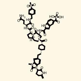 C=C1CCC(n2c(=O)n(C)c3cc(CC[C@H]4CC[C@@H](C(=O)N5CC[C@H]6CC[C@@H](C(=O)N[C@@H](CCC(N)=O)C(=O)NCc7ccc(S(C)(=O)=O)cc7)N6C(=O)[C@@H](NC(=O)c6cc7cc(C(=O)P(=O)(O)O)ccc7[nH]6)C5)CC4)ccc32)C(=O)N1